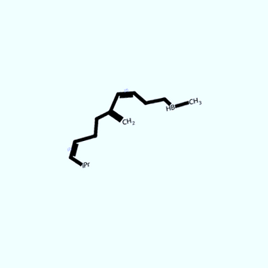 C=C(/C=C\CCBC)CC/C=C\C(C)C